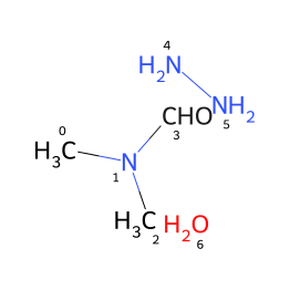 CN(C)C=O.NN.O